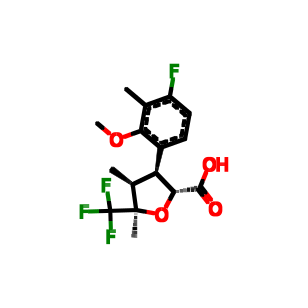 COc1c([C@H]2[C@H](C(=O)O)O[C@@](C)(C(F)(F)F)[C@H]2C)ccc(F)c1C